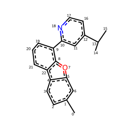 Cc1ccc2c(c1)oc1c(-c3cc(C(C)C)ccn3)cccc12